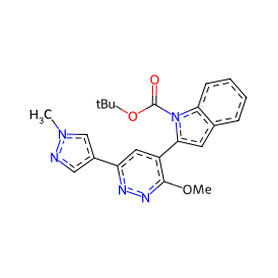 COc1nnc(-c2cnn(C)c2)cc1-c1cc2ccccc2n1C(=O)OC(C)(C)C